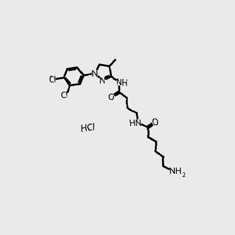 CC1CN(c2ccc(Cl)c(Cl)c2)N=C1NC(=O)CCCNC(=O)CCCCCN.Cl